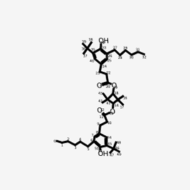 CCCCCCc1cc(CCC(=O)OC2C(C)(C)C(OC(=O)CCc3cc(CCCCCC)c(O)c(C(C)(C)C)c3)C2(C)C)cc(C(C)(C)C)c1O